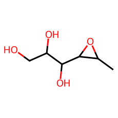 CC1OC1C(O)C(O)CO